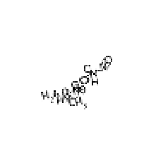 C=CC(=O)NC1(C)CCN(S(=O)(=O)c2ccc(C(=O)NCCN3CCOCC3)cc2)CC1